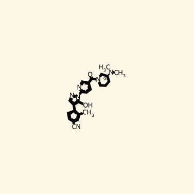 Cc1cc(C#N)ccc1-c1cnn(-c2ccc(C(=O)N3CCC[C@H](N(C)C)C3)cn2)c1O